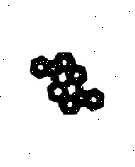 c1ccc(-n2c3ccccc3c3ccccc32)c(C2CCCCC2n2c3ccccc3c3ccccc32)c1